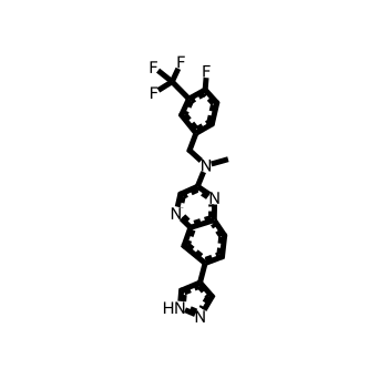 CN(Cc1ccc(F)c(C(F)(F)F)c1)c1cnc2cc(-c3cn[nH]c3)ccc2n1